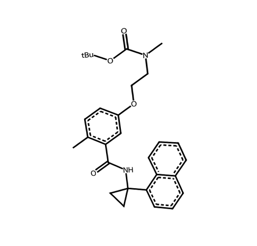 Cc1ccc(OCCN(C)C(=O)OC(C)(C)C)cc1C(=O)NC1(c2cccc3ccccc23)CC1